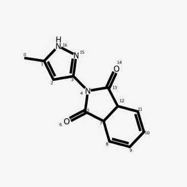 Cc1cc(N2C(=O)C3C=CC=CC3C2=O)n[nH]1